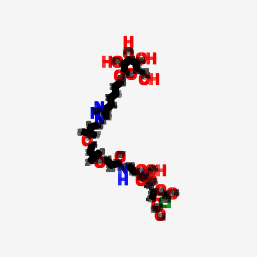 CC(C)(CCOC(C)(C)CCn1cc(CCCCCOC2O[C@H](CO)[C@H](O)[C@H](O)[C@H]2O)nn1)OCCC(=O)NCCOP(=O)(O)OC[C@@H](COC=O)OC(=O)Cl